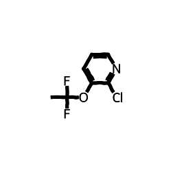 CC(F)(F)Oc1cccnc1Cl